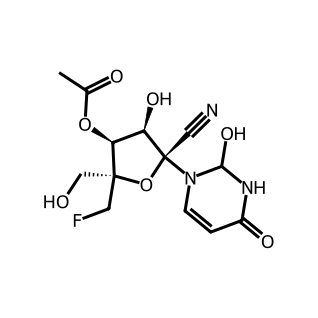 CC(=O)O[C@H]1[C@@H](O)[C@](C#N)(N2C=CC(=O)NC2O)O[C@@]1(CO)CF